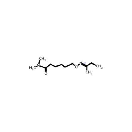 CC/C(C)=N/OCCCCCC(=O)N(C)C